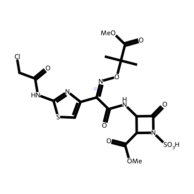 COC(=O)C1C(NC(=O)/C(=N\OC(C)(C)C(=O)OC)c2csc(NC(=O)CCl)n2)C(=O)N1S(=O)(=O)O